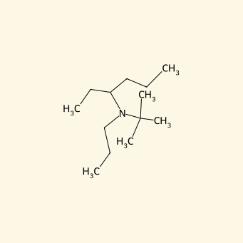 CCCC(CC)N(CCC)C(C)(C)C